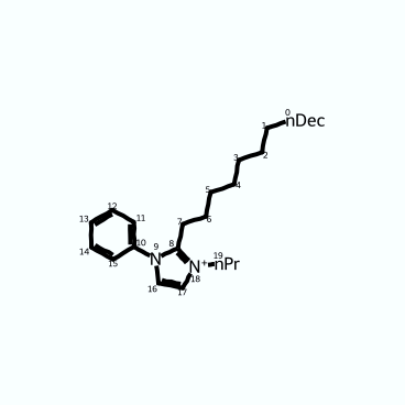 CCCCCCCCCCCCCCCCCc1n(-c2ccccc2)cc[n+]1CCC